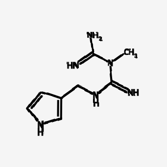 CN(C(=N)N)C(=N)NCc1cc[nH]c1